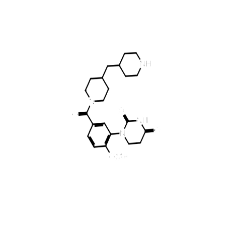 COc1ccc(C(=O)N2CCC(CC3CCNCC3)CC2)cc1N1CCC(=O)NC1=O